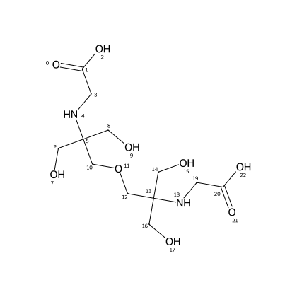 O=C(O)CNC(CO)(CO)COCC(CO)(CO)NCC(=O)O